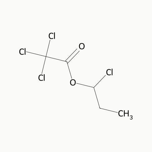 CCC(Cl)OC(=O)C(Cl)(Cl)Cl